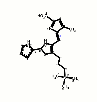 CC1=CC(C(=O)O)=N/C1=C\C1=C(CCC[N+](C)(C)C)CC(c2ccc[nH]2)N1